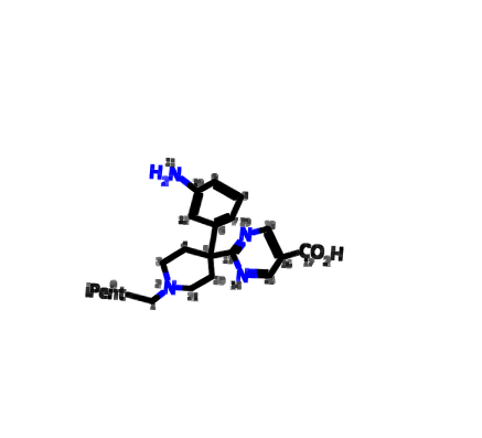 CCCC(C)CN1CCC(c2cccc(N)c2)(c2ncc(C(=O)O)cn2)CC1